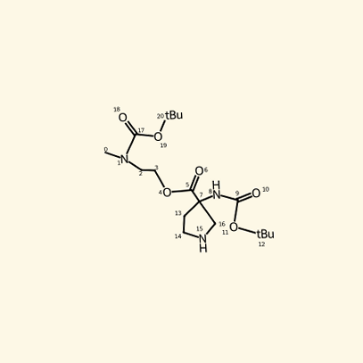 CN(CCOC(=O)C1(NC(=O)OC(C)(C)C)CCNC1)C(=O)OC(C)(C)C